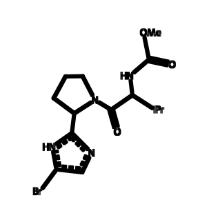 COC(=O)NC(C(=O)N1CCCC1c1ncc(Br)[nH]1)C(C)C